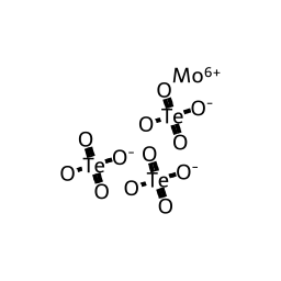 O=[Te](=O)([O-])[O-].O=[Te](=O)([O-])[O-].O=[Te](=O)([O-])[O-].[Mo+6]